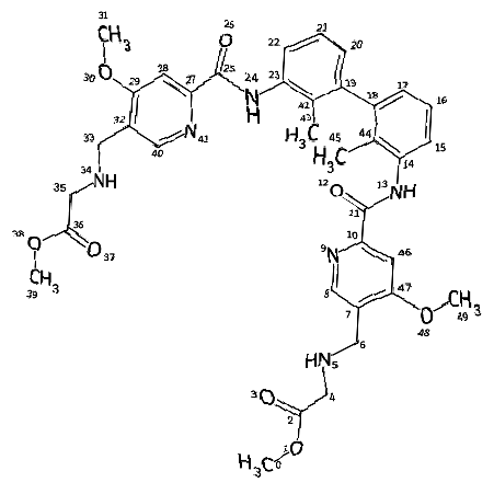 COC(=O)CNCc1cnc(C(=O)Nc2cccc(-c3cccc(NC(=O)c4cc(OC)c(CNCC(=O)OC)cn4)c3C)c2C)cc1OC